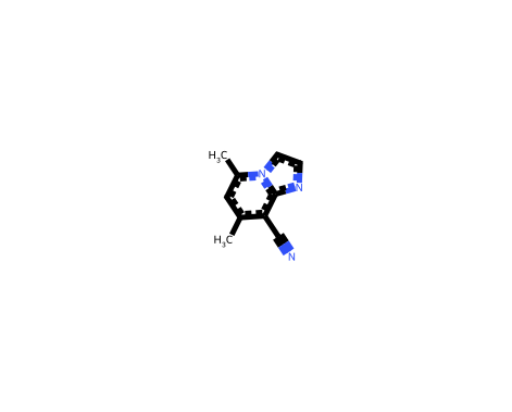 Cc1cc(C)n2ccnc2c1C#N